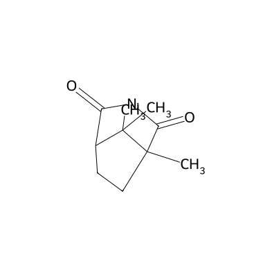 CC12CCC(C(=O)[N]C1=O)C2(C)C